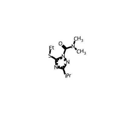 CCSc1nc(C(C)C)nn1C(=O)N(C)C